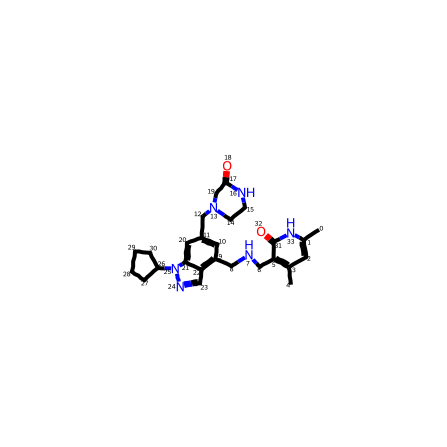 Cc1cc(C)c(CNCc2cc(CN3CCNC(=O)C3)cc3c2cnn3C2CCCC2)c(=O)[nH]1